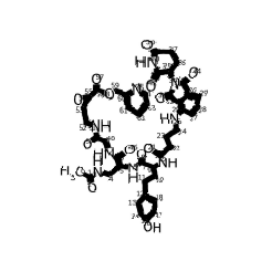 CC(=O)NCC(NC(=O)C(CCc1ccc(O)cc1)NC(=O)CCCNc1cccc2c1C(=O)N(C1CCC(=O)NC1=O)C2=O)C(=O)NCC(=O)NCC1OC1C(=O)OCc1ccccn1